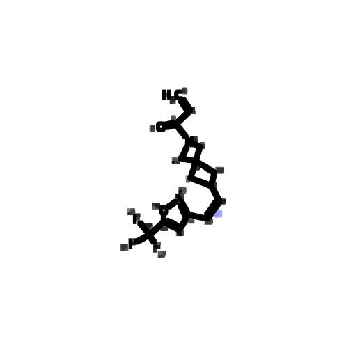 C=CC(=O)N1CC2(CC(/C=C\c3cc(C(F)(F)F)on3)C2)C1